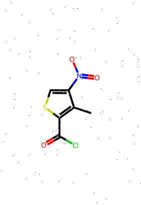 Cc1c([N+](=O)[O-])csc1C(=O)Cl